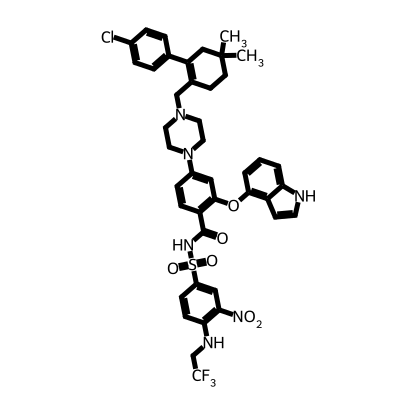 CC1(C)CCC(CN2CCN(c3ccc(C(=O)NS(=O)(=O)c4ccc(NCC(F)(F)F)c([N+](=O)[O-])c4)c(Oc4cccc5[nH]ccc45)c3)CC2)=C(c2ccc(Cl)cc2)C1